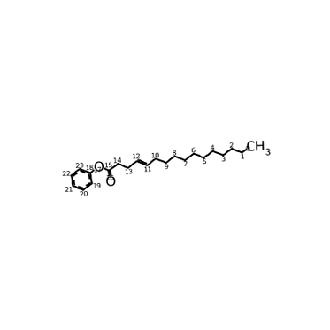 CCCCCCCCCCCC=CCCC(=O)Oc1ccccc1